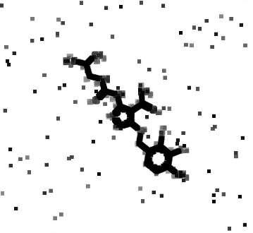 Cc1ccc(COc2nsc(NC(=O)NCC(C)C)c2C(N)=O)c(F)c1F